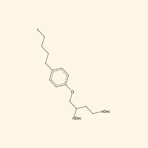 CCCCCCCCCCCCC(CCCCCCCCCC)COc1ccc(CCCCI)cc1